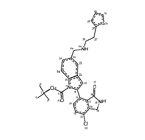 CC(C)(C)OC(=O)n1c(-c2ccc(Cl)c3c2C(=O)NC3)cc2cc(CNCCc3cccs3)ccc21